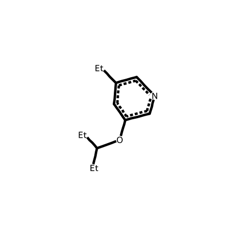 CCc1cncc(OC(CC)CC)c1